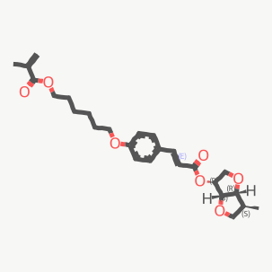 C=C(C)C(=O)OCCCCCCOc1ccc(/C=C/C(=O)O[C@@H]2CO[C@H]3[C@@H]2OC[C@@H]3C)cc1